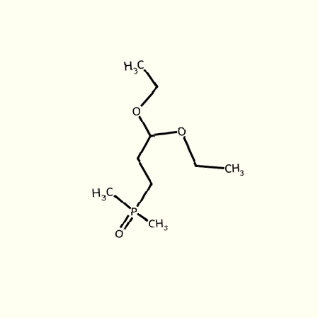 CCOC(CCP(C)(C)=O)OCC